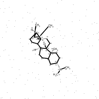 C[C@H]1[C@H]2CCC3[C@@H]4CCC5C[C@@H](N(C)C)CC[C@]5(C)[C@H]4CC[C@@]32CN1C